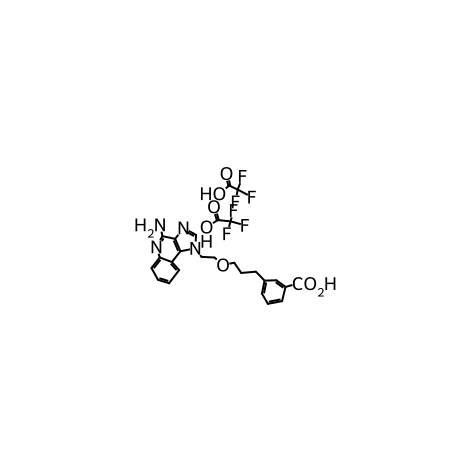 Nc1nc2ccccc2c2c1ncn2CCOCCCc1cccc(C(=O)O)c1.O=C(O)C(F)(F)F.O=C(O)C(F)(F)F